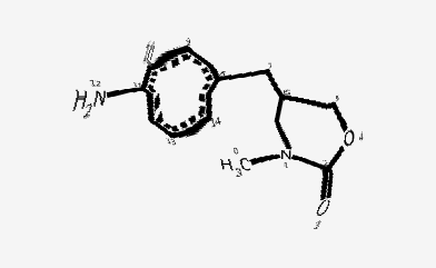 CN1C(=O)OCC1Cc1ccc(N)cc1